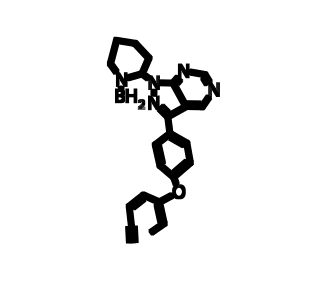 BN1CCCCC1n1nc(-c2ccc(OC(/C=C\C#C)=C/C)cc2)c2cncnc21